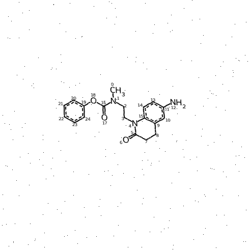 CN(CCN1C(=O)CCc2cc(N)ccc21)C(=O)Oc1ccccc1